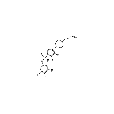 C=CCCC1CCC(c2ccc(C(F)(F)Oc3cc(F)c(F)c(F)c3)c(F)c2F)CC1